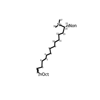 CCCCCCCC/C=C\CCCCCCCCCCC[C@@H](CCCCCCCCC)N(C)C